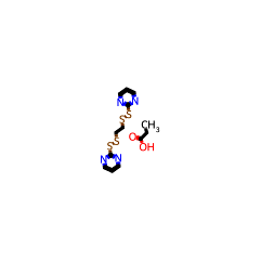 CCC(=O)O.c1cnc(SSCCSSc2ncccn2)nc1